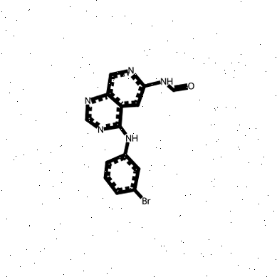 O=CNc1cc2c(Nc3cccc(Br)c3)ncnc2cn1